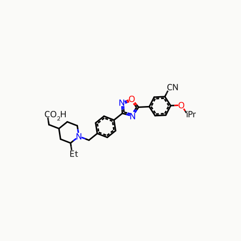 CCC1CC(CC(=O)O)CCN1Cc1ccc(-c2noc(-c3ccc(OC(C)C)c(C#N)c3)n2)cc1